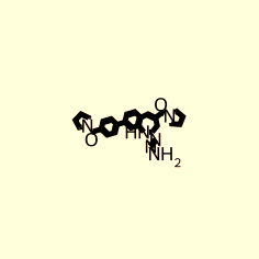 NN=NC1CC(C(=O)N2CCCC2)=Cc2ccc(-c3ccc(C(=O)N4CCCC4)cc3)cc2N1